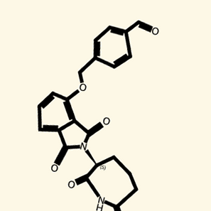 O=Cc1ccc(COc2cccc3c2C(=O)N([C@H]2CCCC(=O)NC2=O)C3=O)cc1